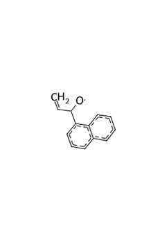 C=CC([O])c1cccc2ccccc12